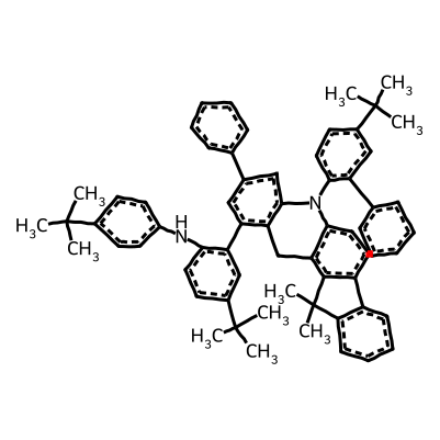 CC(C)(C)c1ccc(Nc2ccc(C(C)(C)C)cc2-c2cc(-c3ccccc3)cc3c2Cc2c(ccc4c2C(C)(C)c2ccccc2-4)N3c2ccc(C(C)(C)C)cc2-c2ccccc2)cc1